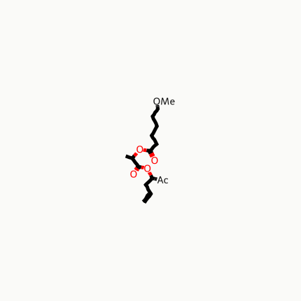 C=CCC(OC(=O)C(C)OC(=O)CCCCCOC)C(C)=O